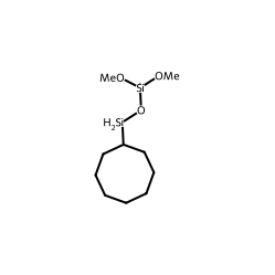 CO[Si](OC)O[SiH2]C1CCCCCCC1